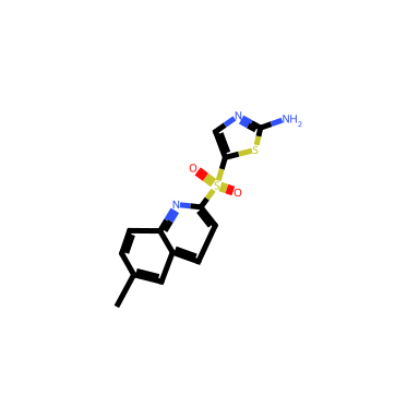 Cc1ccc2nc(S(=O)(=O)c3cnc(N)s3)ccc2c1